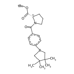 CC(C)(C)OC(=O)[C@@H]1CCCN1C(=O)c1ccc(B2CC(C)(C)C(C)(C)C2)cc1